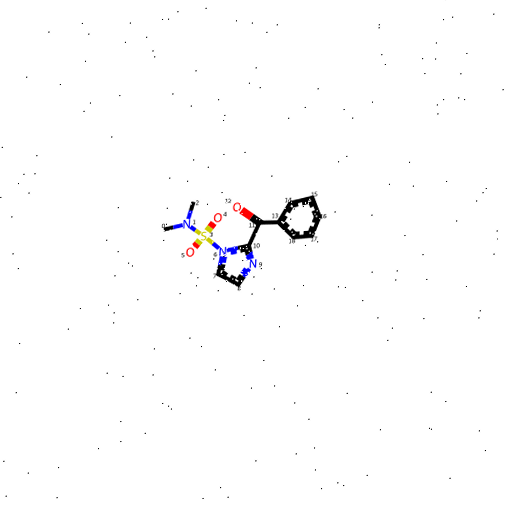 CN(C)S(=O)(=O)n1ccnc1C(=O)c1ccccc1